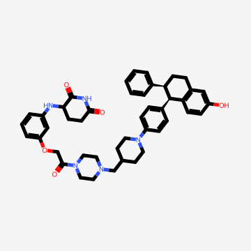 O=C1CCC(Nc2cccc(OCC(=O)N3CCN(CC4CCN(c5ccc([C@@H]6c7ccc(O)cc7CC[C@@H]6c6ccccc6)cc5)CC4)CC3)c2)C(=O)N1